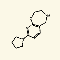 c1cc2c(nc1N1CCCC1)OCCNC2